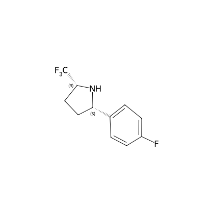 Fc1ccc([C@@H]2CC[C@H](C(F)(F)F)N2)cc1